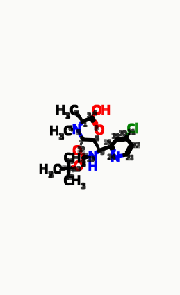 C[C@@H](C(=O)O)N(C)CC[C@H](NC(=O)OC(C)(C)C)c1cc(Cl)ccn1